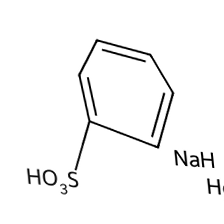 O=S(=O)(O)c1ccccc1.[Hg].[NaH]